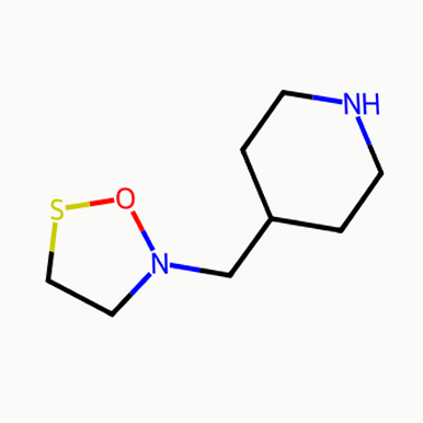 C1CC(CN2CCSO2)CCN1